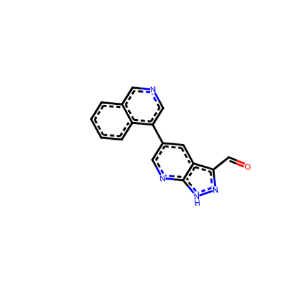 O=Cc1n[nH]c2ncc(-c3cncc4ccccc34)cc12